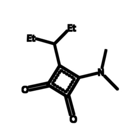 CCC(CC)c1c(N(C)C)c(=O)c1=O